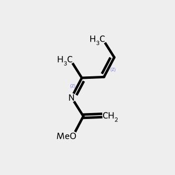 C=C(/N=C(C)\C=C/C)OC